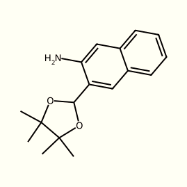 CC1(C)OC(c2cc3ccccc3cc2N)OC1(C)C